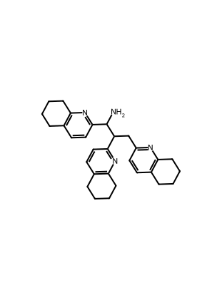 NC(c1ccc2c(n1)CCCC2)C(Cc1ccc2c(n1)CCCC2)c1ccc2c(n1)CCCC2